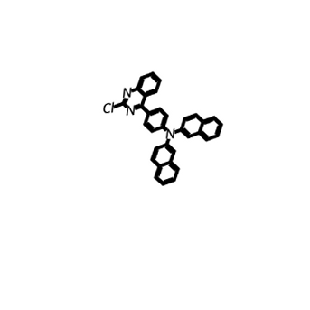 Clc1nc(-c2ccc(N(c3ccc4ccccc4c3)c3ccc4ccccc4c3)cc2)c2ccccc2n1